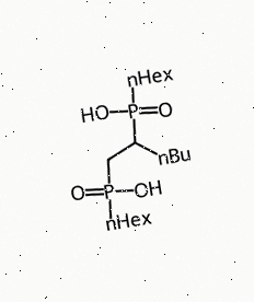 CCCCCCP(=O)(O)CC(CCCC)P(=O)(O)CCCCCC